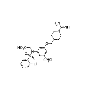 Cl.N=C(N)N1CCC(COc2cc(N(CC(=O)O)S(=O)(=O)c3ccccc3Cl)cc(C(F)(F)F)c2)CC1